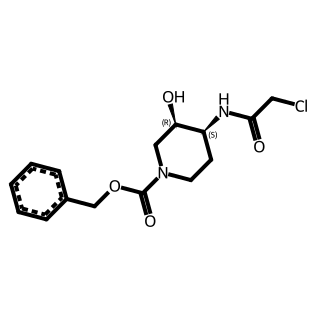 O=C(CCl)N[C@H]1CCN(C(=O)OCc2ccccc2)C[C@H]1O